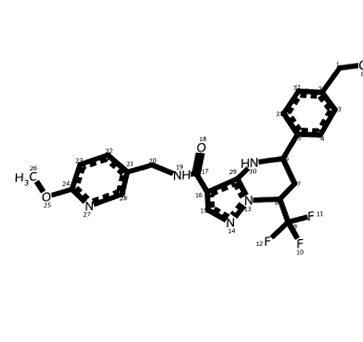 CCc1ccc(C2CC(C(F)(F)F)n3ncc(C(=O)NCc4ccc(OC)nc4)c3N2)cc1